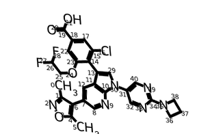 Cc1noc(C)c1-c1cnc2c(c1)c(-c1c(Cl)cc(C(=O)O)cc1OCC(F)F)cn2-c1cnc(N2CCC2)nc1